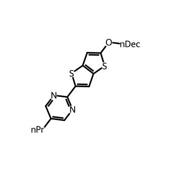 CCCCCCCCCCOc1cc2sc(-c3ncc(CCC)cn3)cc2s1